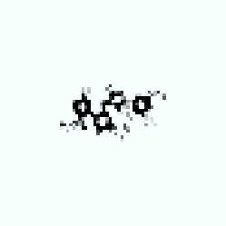 Cc1cc([C@H]2OC(=O)N(CC3=C(c4cc(C(C)C)ccc4N(C)C)CCC(C)(C)C3)[C@H]2C)cc(C(F)(F)F)c1